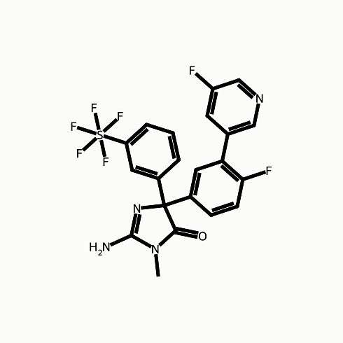 CN1C(=O)C(c2cccc(S(F)(F)(F)(F)F)c2)(c2ccc(F)c(-c3cncc(F)c3)c2)N=C1N